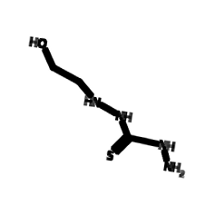 NNC(=S)NNCCO